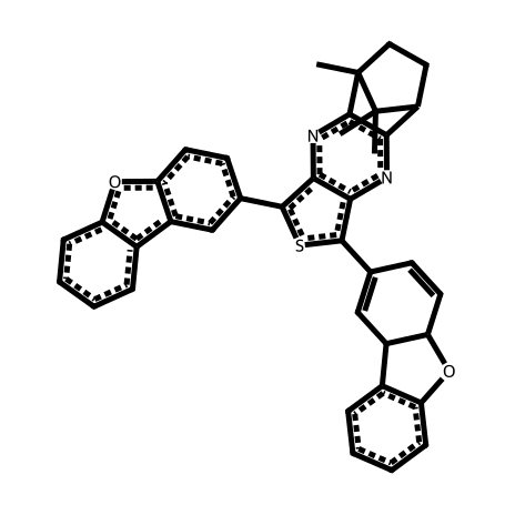 CC12CCC(c3nc4c(C5=CC6c7ccccc7OC6C=C5)sc(-c5ccc6oc7ccccc7c6c5)c4nc31)C2(C)C